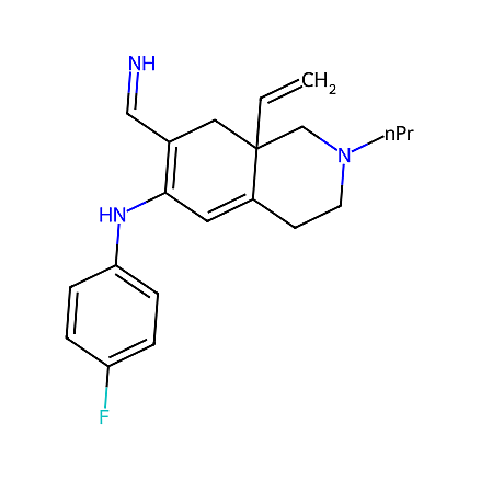 C=CC12CC(C=N)=C(Nc3ccc(F)cc3)C=C1CCN(CCC)C2